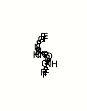 O=C(Nc1ccc(Oc2ccc3cc(C(=O)N4CCN(Cc5ccc(OCC(F)(F)F)cc5)CC4)[nH]c3c2)nc1)c1ccc(C(F)(F)F)cc1